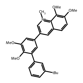 COc1cc(-c2cc3ccc(OC)c(OC)c3[n+](C)c2)cc(-c2cccc(C(C)(C)C)c2)c1OC